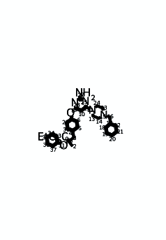 CCOC(=O)[C@@](C)(Cc1ccc(Oc2cc(N3CCN(Cc4ccccc4)CC3)nc(N)n2)cc1)Oc1ccccc1